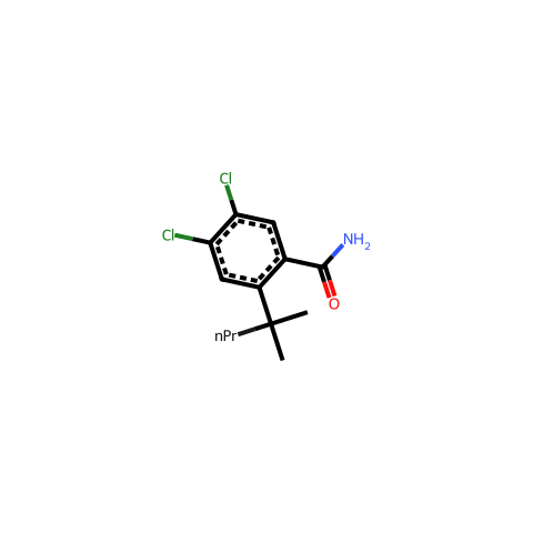 CCCC(C)(C)c1cc(Cl)c(Cl)cc1C(N)=O